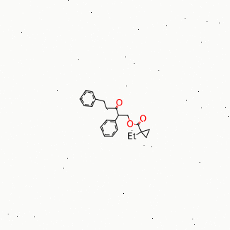 CCC1(C(=O)OCC(C(=O)CCc2ccccc2)c2ccccc2)CC1